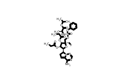 CCC(=O)O[C@H]1[C@H](C2CC=C3C(N)=NC=NN32)O[C@](CF)(CO[P@@](=O)(N[C@@H](C)C(=O)OC(C)C)Oc2ccccc2)[C@H]1OC(=O)CC